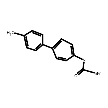 CCCC(=O)Nc1ccc(-c2ccc(C)cc2)cc1